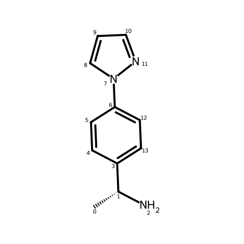 C[C@@H](N)c1ccc(-n2cccn2)cc1